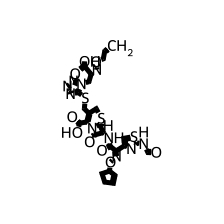 C=CCO/N=C(/Cn1nnnc1SCC1=C(C(=O)O)N2C(=O)C(NC(=O)/C(=N\OC3C=CCC3)c3csc(NC=O)n3)[C@H]2SC1)C(=O)O